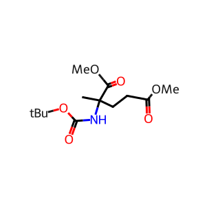 COC(=O)CCC(C)(NC(=O)OC(C)(C)C)C(=O)OC